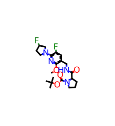 COc1nc(N2CCC(F)C2)c(F)cc1CNC(=O)C1CCCN1C(=O)OC(C)(C)C